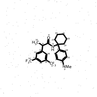 CNc1ccc(C2(NC(=O)C(C)c3cc(C(F)(F)F)cc(C(F)(F)F)c3)CCCCC2)cc1